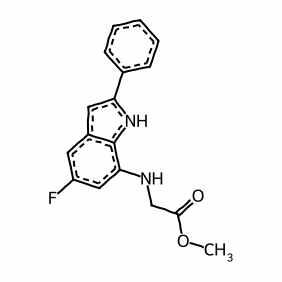 COC(=O)CNc1cc(F)cc2cc(-c3ccccc3)[nH]c12